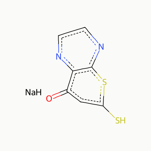 O=c1cc(S)sc2nccnc12.[NaH]